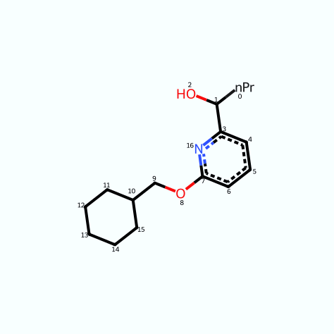 CCCC(O)c1cccc(OCC2CCCCC2)n1